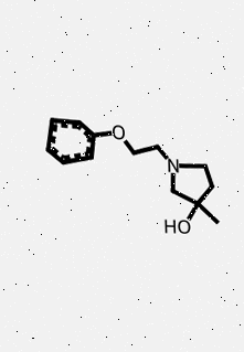 CC1(O)CCN(CCOc2ccccc2)C1